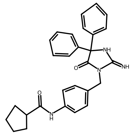 N=C1NC(c2ccccc2)(c2ccccc2)C(=O)N1Cc1ccc(NC(=O)C2CCCC2)cc1